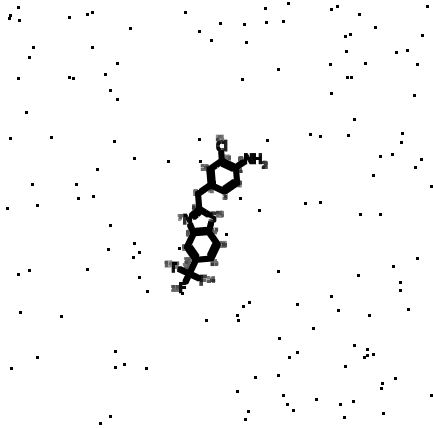 Nc1ccc(Cc2nc3cc(C(F)(F)F)ccc3s2)cc1Cl